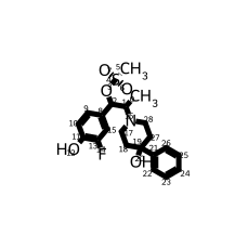 CC(C(OS(C)(=O)=O)c1ccc(O)c(F)c1)N1CCC(O)(c2ccccc2)CC1